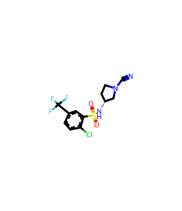 N#CN1CC[C@@H](NS(=O)(=O)c2cc(C(F)(F)F)ccc2Cl)C1